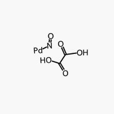 O=C(O)C(=O)O.O=[N][Pd]